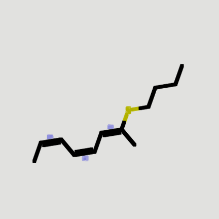 C\C=C/C=C\C=C(/C)SCCCC